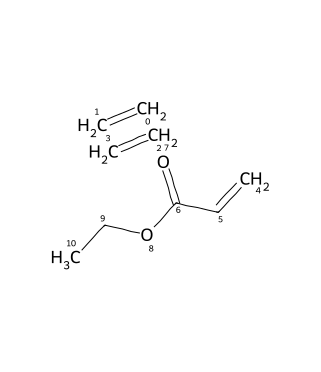 C=C.C=C.C=CC(=O)OCC